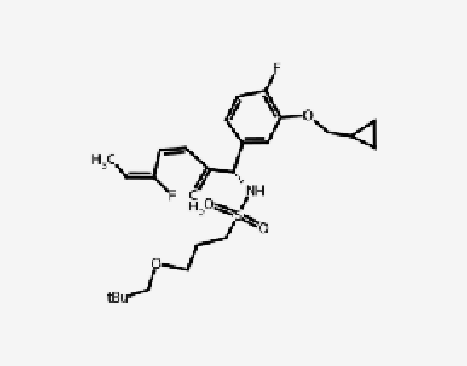 C=C(/C=C\C(F)=C/C)[C@@H](NS(=O)(=O)CCCOCC(C)(C)C)c1ccc(F)c(OCC2CC2)c1